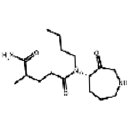 CCCCN(C(=O)[CH]CC(C)C(N)=O)[C@H]1CCCNCC1=O